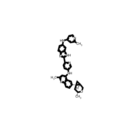 Cc1cc(Nc2ccc3nc(-c4ccc(Nc5cc(C)nc6ccc([C@]78C[C@H]7CO[C@H](C)C8)cc56)cn4)[nH]c3c2)ccn1